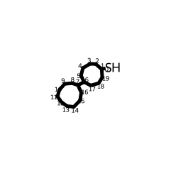 SC1CCCCC(C2CCCCCCCCC2)CCC1